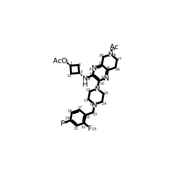 CC(=O)O[C@H]1C[C@H](Nc2nc3c(nc2N2CCN(Cc4ccc(F)cc4F)CC2)CCN(C(C)=O)C3)C1